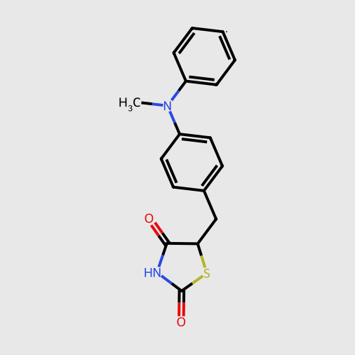 CN(c1cc[c]cc1)c1ccc(CC2SC(=O)NC2=O)cc1